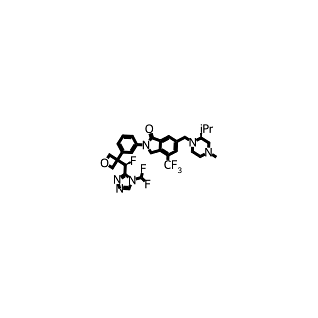 CC(C)[C@H]1CN(C)CCN1Cc1cc2c(c(C(F)(F)F)c1)CN(c1cccc(C3([C@@H](F)c4nncn4C(F)F)COC3)c1)C2=O